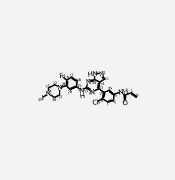 C=CC(=O)Nc1ccc(Cl)c(-c2nc(Nc3ccc(F)c(N4CCN(I)CC4)c3)nc3[nH]ncc23)c1